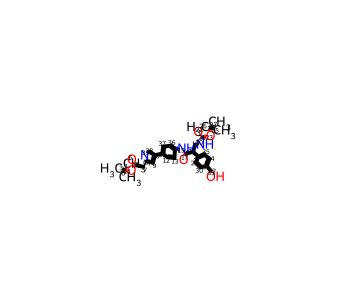 CC(C)(C)OC(=O)C[C@@H]1C=C(c2ccc(NC(=O)C(CNC(=O)OC(C)(C)C)c3ccc(CO)cc3)cc2)C=N1